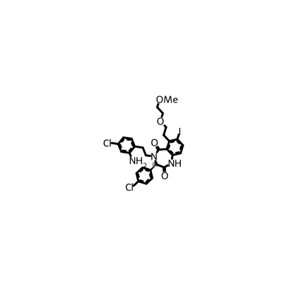 COCCOCCc1c(I)ccc2c1C(=O)N(CCc1ccc(Cl)cc1N)[C@H](c1ccc(Cl)cc1)C(=O)N2